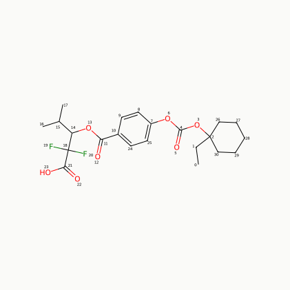 CCC1(OC(=O)Oc2ccc(C(=O)OC(C(C)C)C(F)(F)C(=O)O)cc2)CCCCC1